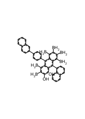 Bc1c(B)c(B)c2c(-c3cccc4ccccc34)c3c(O)c(O)c(B)c(B)c3c(-c3ccc(-c4ccc5ccccc5c4)cc3)c2c1B